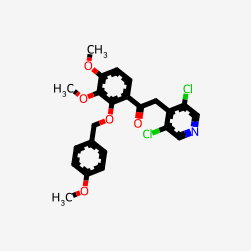 COc1ccc(COc2c(C(=O)Cc3c(Cl)cncc3Cl)ccc(OC)c2OC)cc1